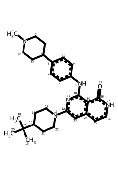 CN1CCC(c2ccc(Nc3nc(N4CCC(C(C)(C)C)CC4)cc4cc[nH]c(=O)c34)cc2)CC1